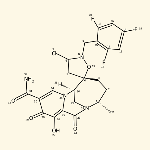 C[C@H]1CC[C@]2(CC(Cl)N(Cc3c(F)cc(F)cc3F)O2)[C@H]2CN1C(=O)c1c(O)c(=O)c(C(N)=O)cn12